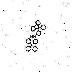 C1=CCC2C(=C1)C1(c3ccccc3-c3ccccc31)c1cc(Nc3ccc4c(c3)C3(C5=C(CCC=C5)C5=C3C=CCC5)C3CC=CC=C43)ccc12